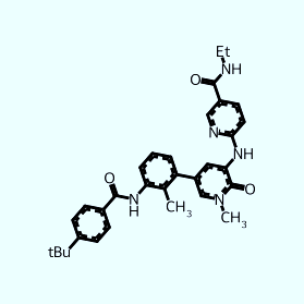 CCNC(=O)c1ccc(Nc2cc(-c3cccc(NC(=O)c4ccc(C(C)(C)C)cc4)c3C)cn(C)c2=O)nc1